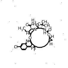 CC[C@@H]1[C@@H]2CN(C(=O)[C@H](C(C)(C)C)NC(=O)O[C@@H]3C[C@H]3CCCCC(F)(F)c3cc4ccc(Cl)cc4nc3O2)[C@@H]1C(C)=O